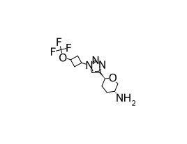 N[C@@H]1CC[C@@H](c2cn(C3CC(OC(F)(F)F)C3)nn2)OC1